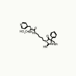 CC(C)CC1(c2ccccc2)NC(=N)N(CCCCNC(=O)[C@H](Cc2ccncc2)NC(=O)O)C1=O